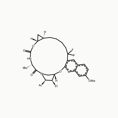 CC[C@@H]1[C@@H]2CN(C(=O)[C@H](C(C)(C)C)NC(=O)O[C@@H]3C[C@H]3CCCCC(F)(F)c3cc4ccc(OC)cc4nc3O2)[C@@H]1C(C)=O